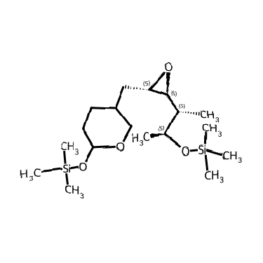 C[C@@H]([C@@H]1O[C@H]1CC1CCC(O[Si](C)(C)C)OC1)[C@H](C)O[Si](C)(C)C